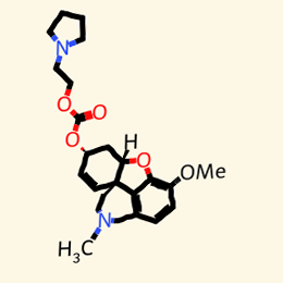 COc1ccc2c3c1O[C@H]1C[C@@H](OC(=O)OCCN4CCCC4)C=C[C@@]31CCN(C)C2